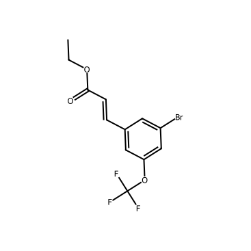 CCOC(=O)/C=C/c1cc(Br)cc(OC(F)(F)F)c1